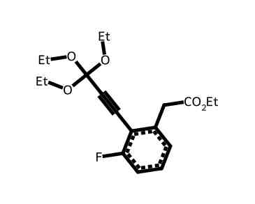 CCOC(=O)Cc1cccc(F)c1C#CC(OCC)(OCC)OCC